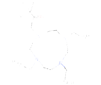 CCC(C)(C)C(=O)CN1CCN(CC(=O)O)CCN(CC(=O)O)CCN(CC(=O)O)CC1